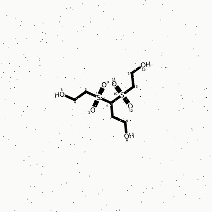 O=S(=O)(CCO)C(CCO)S(=O)(=O)CCO